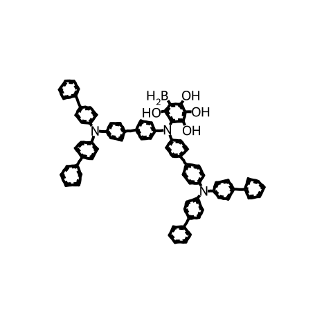 Bc1c(O)c(O)c(O)c(N(c2ccc(-c3ccc(N(c4ccc(-c5ccccc5)cc4)c4ccc(-c5ccccc5)cc4)cc3)cc2)c2ccc(-c3ccc(N(c4ccc(-c5ccccc5)cc4)c4ccc(-c5ccccc5)cc4)cc3)cc2)c1O